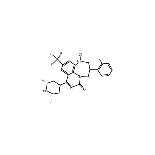 C[C@@H]1CN(c2nc(=O)n3c4c(cc(C(F)(F)F)cc24)[SH](Cl)CC(c2ccncc2F)C3)C[C@H](C)N1